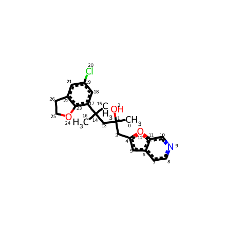 CC(O)(Cc1cc2ccncc2o1)CC(C)(C)c1cc(Cl)cc2c1OCC2